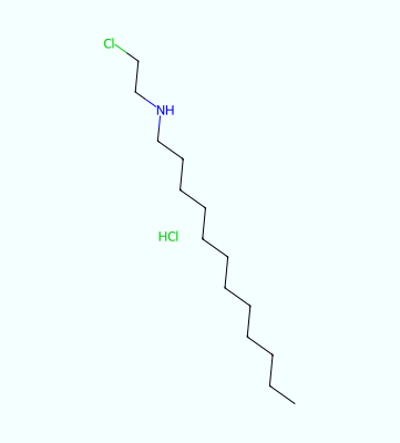 CCCCCCCCCCCCNCCCl.Cl